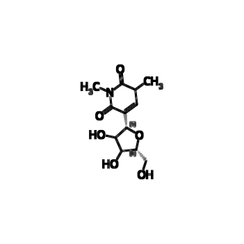 CC1C=C([C@@H]2O[C@H](CO)C(O)C2O)C(=O)N(C)C1=O